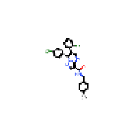 N#Cc1ccc(CNC(=O)c2cnn3c(-c4ccc(Cl)cc4)c(-c4ccccc4Cl)cnc23)cc1